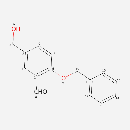 O=Cc1cc(CO)ccc1OCc1ccccc1